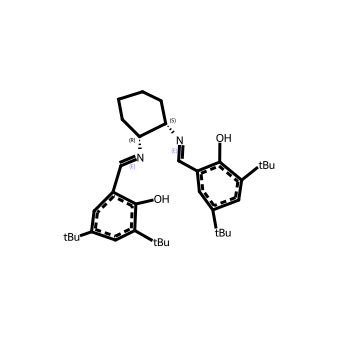 CC(C)(C)c1cc(/C=N/[C@H]2CCCC[C@H]2/N=C/c2cc(C(C)(C)C)cc(C(C)(C)C)c2O)c(O)c(C(C)(C)C)c1